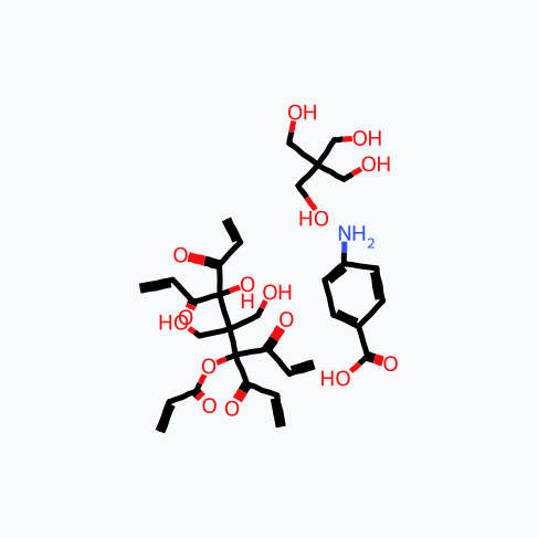 C=CC(=O)OC(C(=O)C=C)(C(=O)C=C)C(CO)(CO)C(O)(C(=O)C=C)C(=O)C=C.Nc1ccc(C(=O)O)cc1.OCC(CO)(CO)CO